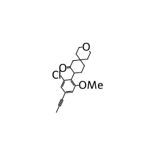 CC#Cc1cc(Cl)c(C2CCC3(CCOCC3)CC2=O)c(OC)c1